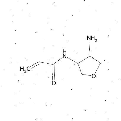 C=CC(=O)NC1COCC1N